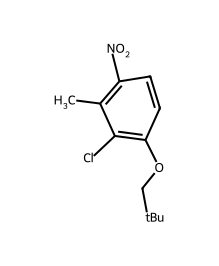 Cc1c([N+](=O)[O-])ccc(OCC(C)(C)C)c1Cl